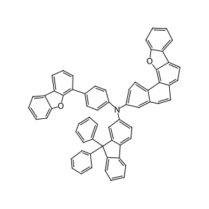 c1ccc(C2(c3ccccc3)c3ccccc3-c3ccc(N(c4ccc(-c5cccc6c5oc5ccccc56)cc4)c4ccc5c(ccc6ccc7c8ccccc8oc7c65)c4)cc32)cc1